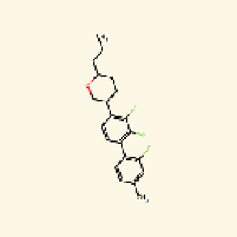 CCCC1CCC(c2ccc(-c3ccc(C)cc3F)c(F)c2F)CO1